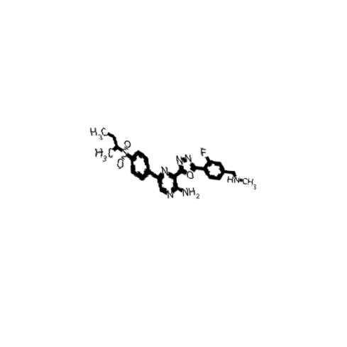 CCC(C)S(=O)(=O)c1ccc(-c2cnc(N)c(-c3nnc(-c4ccc(CNC)cc4F)o3)n2)cc1